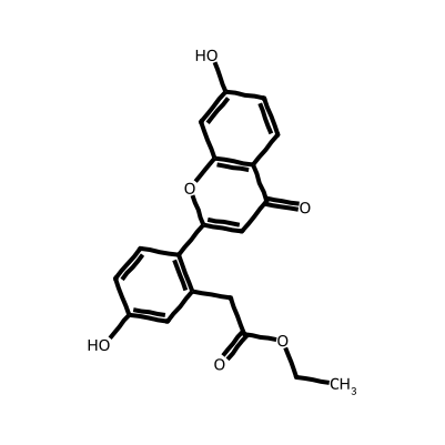 CCOC(=O)Cc1cc(O)ccc1-c1cc(=O)c2ccc(O)cc2o1